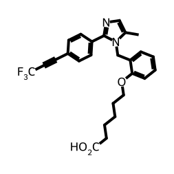 Cc1cnc(-c2ccc(C#CC(F)(F)F)cc2)n1Cc1ccccc1OCCCCCC(=O)O